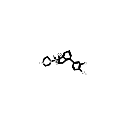 O=C(O)C1(S(=O)(=O)N2CCNCC2)CCc2c(-c3ccc(C(F)(F)F)c(Cl)c3)cccc21